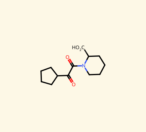 O=C(C(=O)N1CCCCC1C(=O)O)C1CCCC1